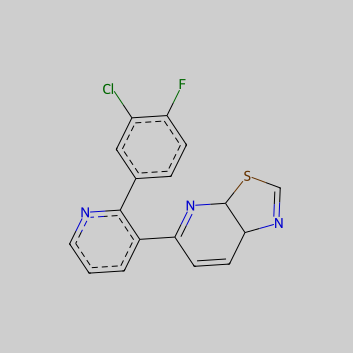 Fc1ccc(-c2ncccc2C2=NC3SC=NC3C=C2)cc1Cl